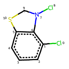 Clc1cccc2c1N(Cl)[CH]S2